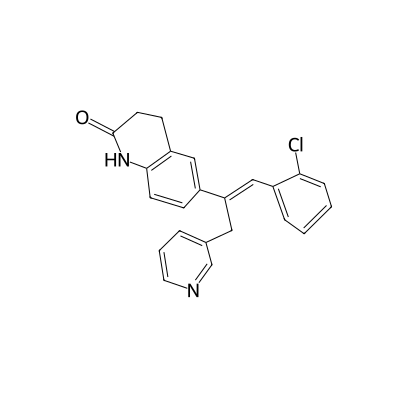 O=C1CCc2cc(C(=Cc3ccccc3Cl)Cc3cccnc3)ccc2N1